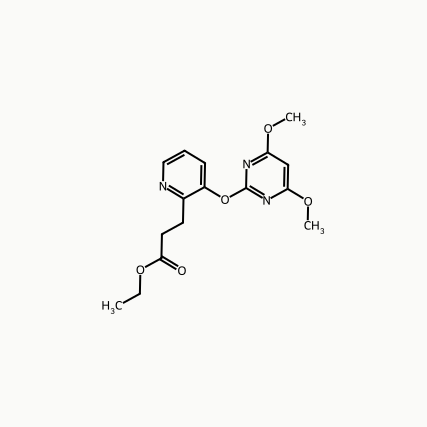 CCOC(=O)CCc1ncccc1Oc1nc(OC)cc(OC)n1